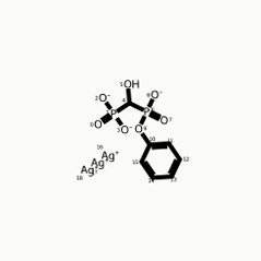 O=P([O-])([O-])C(O)P(=O)([O-])Oc1ccccc1.[Ag+].[Ag+].[Ag+]